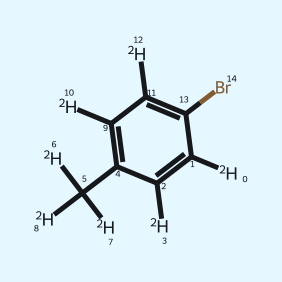 [2H]c1c([2H])c(C([2H])([2H])[2H])c([2H])c([2H])c1Br